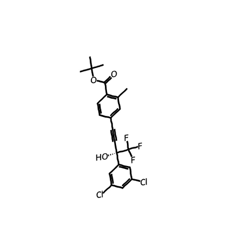 Cc1cc(C#C[C@](O)(c2cc(Cl)cc(Cl)c2)C(F)(F)F)ccc1C(=O)OC(C)(C)C